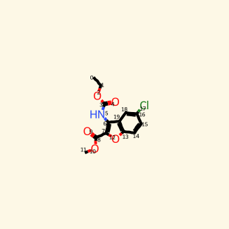 CCOC(=O)Nc1c(C(=O)OC)oc2ccc(Cl)cc12